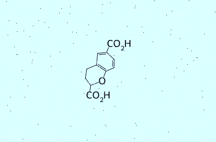 O=C(O)c1ccc2c(c1)CCC(C(=O)O)O2